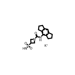 [K+].[NH-]S(=O)(=O)C1CN(C(=O)Nc2c3c(cc4c2CCC4)CCC3)C1